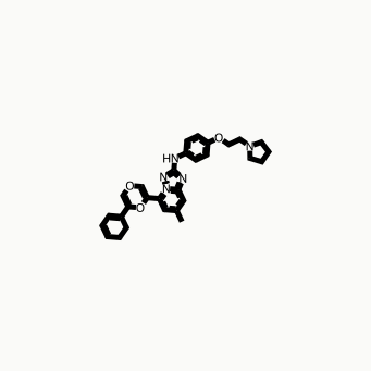 Cc1cc(C2=COC=C(C3=CC=CCC3)O2)n2nc(Nc3ccc(OCCN4CCCC4)cc3)nc2c1